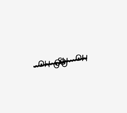 CCCCCCC(O)CCCCCCCCCCC(=O)OCC(S)COC(=O)CCCCCCCCCCC(O)CCCCCC